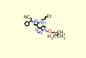 CC/C=C/CNc1nn(C(CC#N)C2CCCC2)cc1-c1ncnc2c1ccn2COCC[Si](C)(C)C